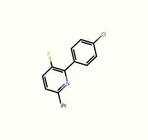 CC(C)c1ccc(F)c(-c2ccc(Cl)cc2)n1